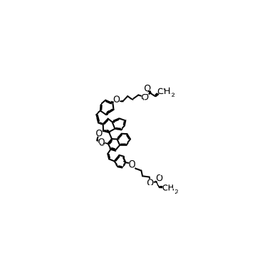 C=CC(=O)OCCCCOc1ccc(/C=C\c2cc3ccccc3c3c2OCOc2c(/C=C\c4ccc(OCCCCOC(=O)C=C)cc4)cc4ccccc4c2-3)cc1